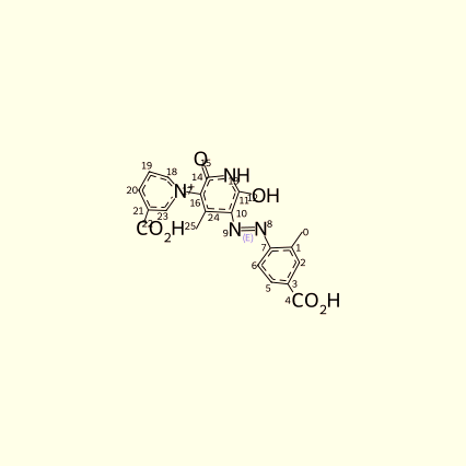 Cc1cc(C(=O)O)ccc1/N=N/c1c(O)[nH]c(=O)c(-[n+]2cccc(C(=O)O)c2)c1C